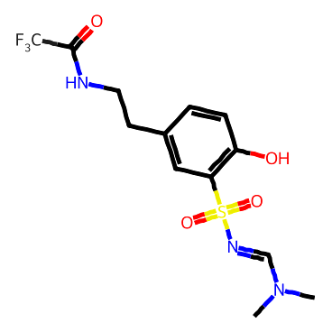 CN(C)C=NS(=O)(=O)c1cc(CCNC(=O)C(F)(F)F)ccc1O